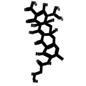 CN(C)[C@@H]1C(O)=C(C(N)=O)C(=O)[C@@]2(O)C(O)=C3C(=O)c4c(cc(F)c(NC(=O)CNC(C)(C)C)c4O)C[C@H]3C[C@@H]12